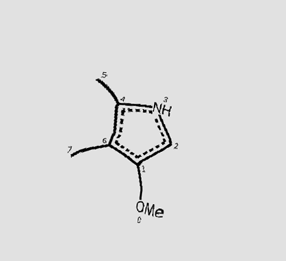 COc1c[nH]c(C)c1C